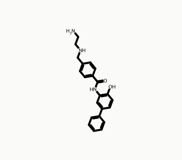 NCCNCc1ccc(C(=O)Nc2cc(-c3ccccc3)ccc2O)cc1